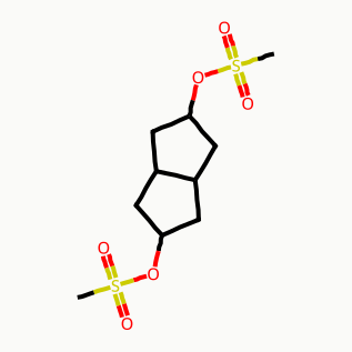 CS(=O)(=O)OC1CC2CC(OS(C)(=O)=O)CC2C1